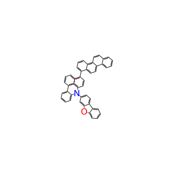 c1ccc(-c2ccccc2N(c2ccc(-c3cccc4c3ccc3c5ccccc5ccc43)cc2)c2ccc3c(c2)oc2ccccc23)cc1